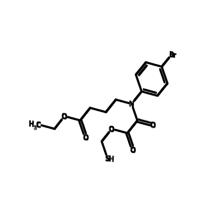 CCOC(=O)CCCN(C(=O)C(=O)OCS)c1ccc(Br)cc1